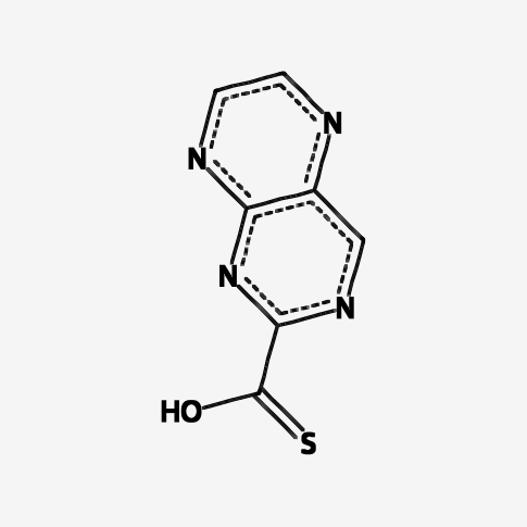 OC(=S)c1ncc2nccnc2n1